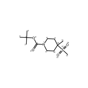 CC(C)(C)OC(=O)N1CCC(C)(S(C)(=O)=O)CC1